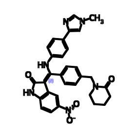 Cn1cnc(-c2ccc(N/C(=C3\C(=O)Nc4ccc([N+](=O)[O-])cc43)c3ccc(CN4CCCCC4=O)cc3)cc2)c1